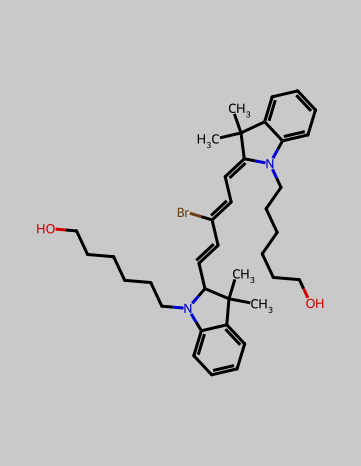 CC1(C)C(=CC=C(Br)C=CC2N(CCCCCCO)c3ccccc3C2(C)C)N(CCCCCCO)c2ccccc21